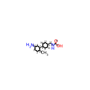 Cc1ccc(N)cc1-c1ccc(CNC(=O)O)cc1